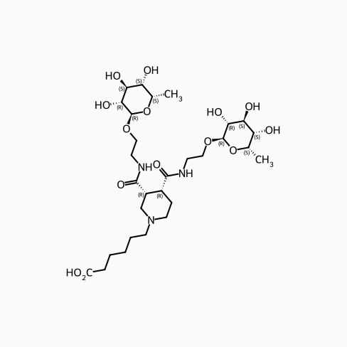 C[C@@H]1O[C@@H](OCCNC(=O)[C@H]2CN(CCCCCC(=O)O)CC[C@H]2C(=O)NCCO[C@@H]2O[C@@H](C)[C@@H](O)[C@H](O)[C@H]2O)[C@H](O)[C@@H](O)[C@@H]1O